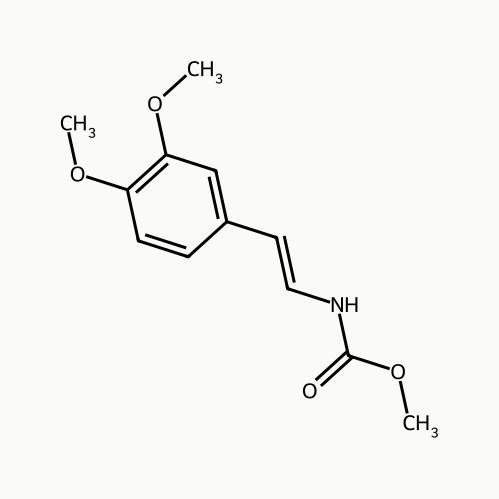 COC(=O)NC=Cc1ccc(OC)c(OC)c1